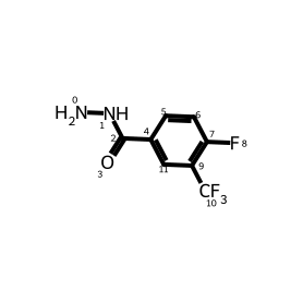 NNC(=O)c1ccc(F)c(C(F)(F)F)c1